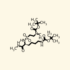 CNC(=O)[C@H](CCCCNC(=O)OC(C)(C)C)NS(=O)(=O)CCN(C)C(=O)OC(C)(C)C